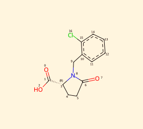 O=C(O)[C@H]1CCC(=O)N1Cc1ccccc1Cl